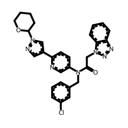 O=C(Cn1nnc2ccccc21)N(Cc1cccc(Cl)c1)c1ccc(-c2cnn(C3CCCCO3)c2)nc1